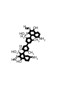 [H]/N=N/c1c(S(=O)(=O)O)c(-c2c(C)cc(-c3cc(C)c(-c4c(S(=O)(=O)O)c(/N=N/[H])c(O)c5ccc(N)cc45)c(C)c3)cc2C)c2cc(N)ccc2c1O